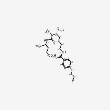 CN(C(=O)N[C@@H](CCC(=O)O)C(=O)O)[C@@H](CCCCNC(=O)c1ccc(OCCF)cc1)C(=O)O